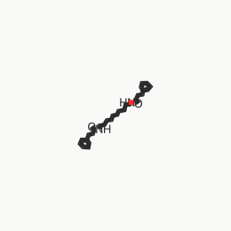 O=C(CCc1ccccc1)NCCCCCCCCCCNC(=O)CCc1ccccc1